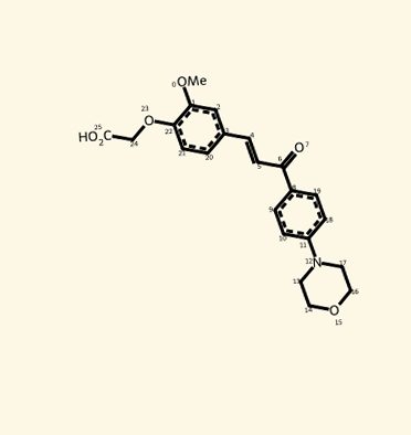 COc1cc(/C=C/C(=O)c2ccc(N3CCOCC3)cc2)ccc1OCC(=O)O